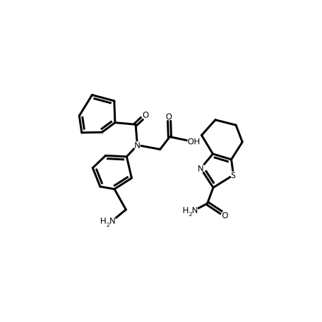 NC(=O)c1nc2c(s1)CCCC2.NCc1cccc(N(CC(=O)O)C(=O)c2ccccc2)c1